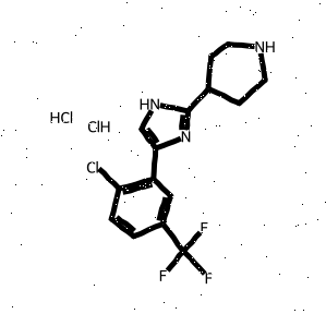 Cl.Cl.FC(F)(F)c1ccc(Cl)c(-c2c[nH]c(C3CCNCC3)n2)c1